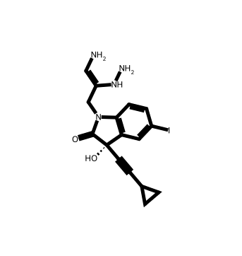 N/C=C(/CN1C(=O)[C@](O)(C#CC2CC2)c2cc(I)ccc21)NN